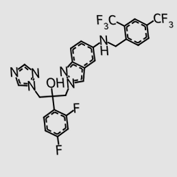 OC(Cn1cncn1)(Cn1cc2cc(NCc3ccc(C(F)(F)F)cc3C(F)(F)F)ccc2n1)c1ccc(F)cc1F